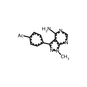 CC(=O)c1ccc(-c2nn(C)c3ncnc(N)c23)cc1